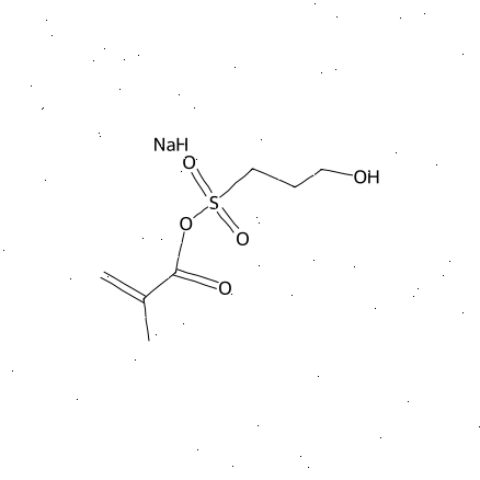 C=C(C)C(=O)OS(=O)(=O)CCCO.[NaH]